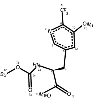 COC(=O)[C@H](Cc1cnc(C(F)(F)F)c(OC)c1)NC(=O)OC(C)(C)C